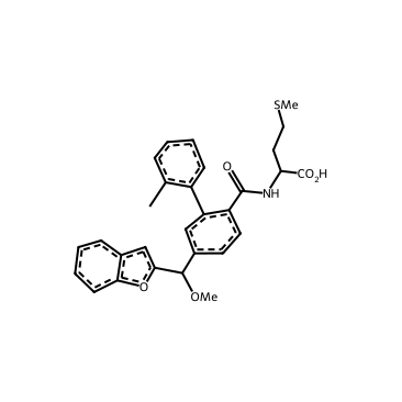 COC(c1ccc(C(=O)NC(CCSC)C(=O)O)c(-c2ccccc2C)c1)c1cc2ccccc2o1